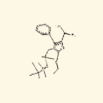 CCOCc1nc(C(N)N)c(-c2ccccc2)n1CC(C)(C)O[Si](C)(C)C(C)(C)C